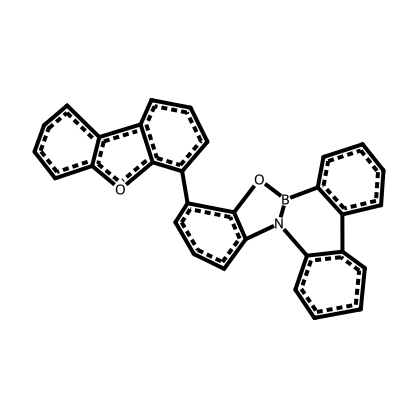 c1ccc2c(c1)B1Oc3c(-c4cccc5c4oc4ccccc45)cccc3N1c1ccccc1-2